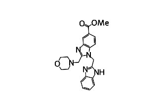 COC(=O)c1ccc2c(c1)nc(CN1CCOCC1)n2Cc1nc2ccccc2[nH]1